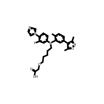 Cc1ccc(-c2c(C)noc2C)cc1N(CCCCCOCC(=O)O)c1ccc(-n2ccnc2)c(F)c1